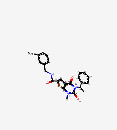 COc1cccc(CNC(=O)c2cc3c(=O)n(C(C)c4ccccc4)c(=O)n(C)c3s2)c1